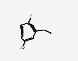 FCc1cc(Br)ccc1F